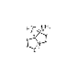 CC1(C)CCN2CCCC21